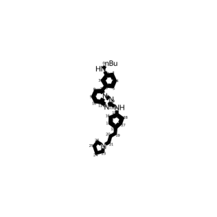 CCCCNc1cccc(-c2cccc3nc(Nc4ccc(CCCN5CCCC5)cc4)nn23)c1